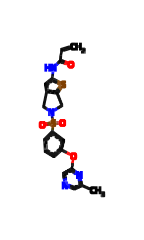 C=CC(=O)Nc1cc2c(s1)CN(S(=O)(=O)c1cccc(Oc3cncc(C)n3)c1)C2